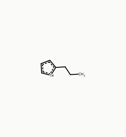 CCCc1ccc[te]1